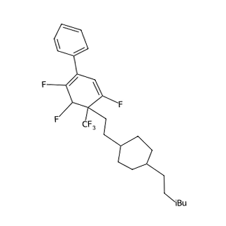 CCC(C)CCC1CCC(CCC2(C(F)(F)F)C(F)=CC(c3ccccc3)=C(F)C2F)CC1